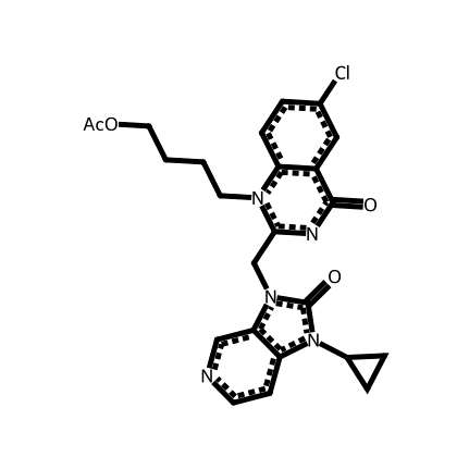 CC(=O)OCCCCn1c(Cn2c(=O)n(C3CC3)c3ccncc32)nc(=O)c2cc(Cl)ccc21